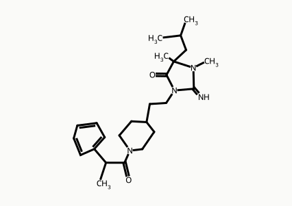 CC(C)CC1(C)C(=O)N(CCC2CCN(C(=O)C(C)c3ccccc3)CC2)C(=N)N1C